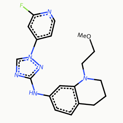 COCCN1CCCc2ccc(Nc3ncn(-c4ccnc(F)c4)n3)cc21